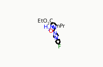 C=C(/C=C(/CCC)N(N)CC(=O)N1CCN(c2ccc(F)cc2)CC1)C(=O)OCC